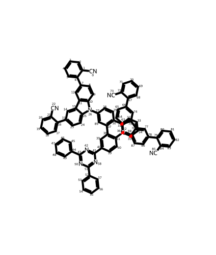 N#Cc1ccccc1-c1ccc2c(c1)c1cc(-c3ccccc3C#N)ccc1n2-c1ccc(-c2ccccn2)c(-c2cc(-c3nc(-c4ccccc4)nc(-c4ccccc4)n3)ccc2-n2c3ccc(-c4ccccc4C#N)cc3c3cc(-c4ccccc4C#N)ccc32)c1